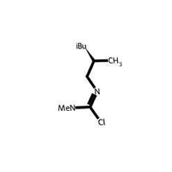 CC[C@H](C)C(C)C/N=C(/Cl)NC